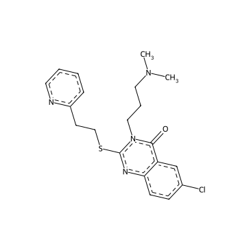 CN(C)CCCn1c(SCCc2ccccn2)nc2ccc(Cl)cc2c1=O